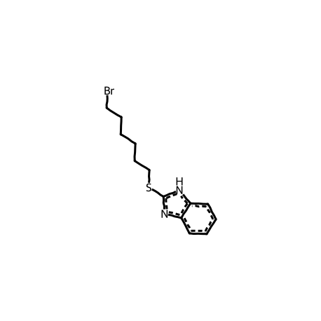 BrCCCCCCSc1nc2ccccc2[nH]1